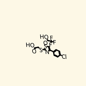 O=C(O)C(F)(F)F.O=C(O)CSc1nc(-c2ccc(Cl)cc2)cs1